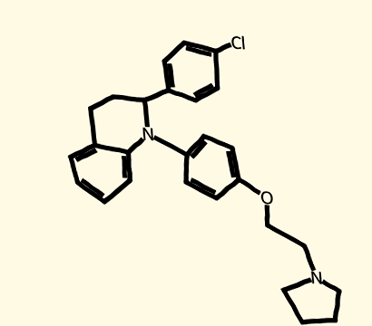 Clc1ccc(C2CCc3ccccc3N2c2ccc(OCCN3CCCC3)cc2)cc1